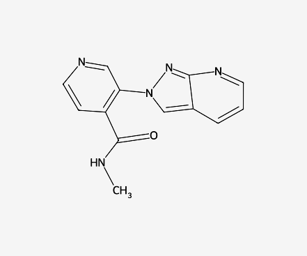 CNC(=O)c1ccncc1-n1cc2cccnc2n1